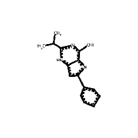 CC(C)c1nc(O)c2nc(-c3ccccc3)cc-2[nH]1